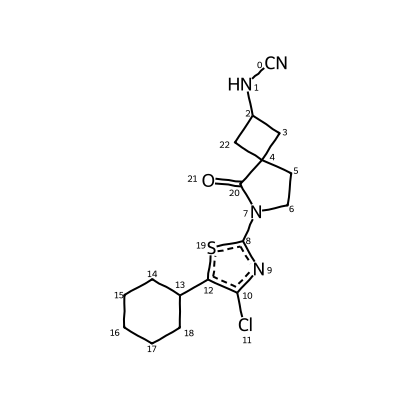 N#CNC1CC2(CCN(c3nc(Cl)c(C4CCCCC4)s3)C2=O)C1